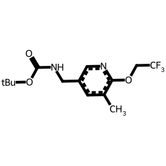 Cc1cc(CNC(=O)OC(C)(C)C)cnc1OCC(F)(F)F